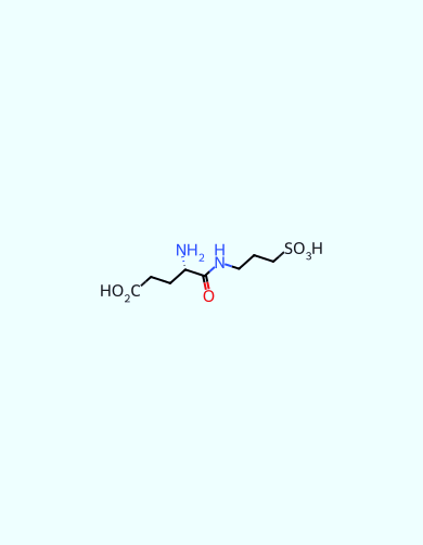 N[C@@H](CCC(=O)O)C(=O)NCCCS(=O)(=O)O